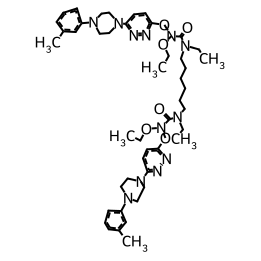 CCON(Oc1ccc(N2CCN(c3cccc(C)c3)CC2)nn1)C(=O)N(CC)CCCCCCN(CC)C(=O)N(OCC)Oc1ccc(N2CCN(c3cccc(C)c3)CC2)nn1